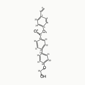 C=Cc1ccc(OC(=O)c2ccc(-c3ccc(OCO)cc3)cc2)cc1